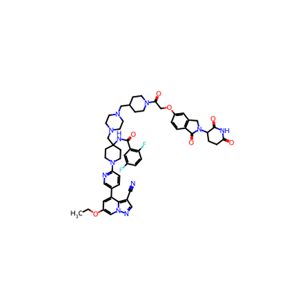 CCOc1cc(-c2ccc(N3CCC(CN4CCN(CC5CCN(C(=O)COc6ccc7c(c6)CN(C6CCC(=O)NC6=O)C7=O)CC5)CC4)(NC(=O)c4cc(F)ccc4F)CC3)nc2)c2c(C#N)cnn2c1